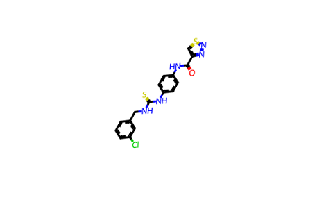 O=C(Nc1ccc(NC(=S)NCc2cccc(Cl)c2)cc1)c1csnn1